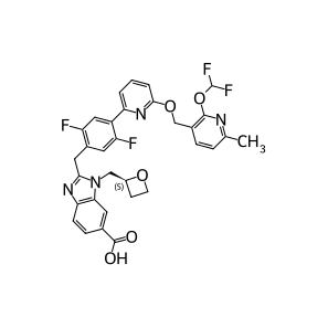 Cc1ccc(COc2cccc(-c3cc(F)c(Cc4nc5ccc(C(=O)O)cc5n4C[C@@H]4CCO4)cc3F)n2)c(OC(F)F)n1